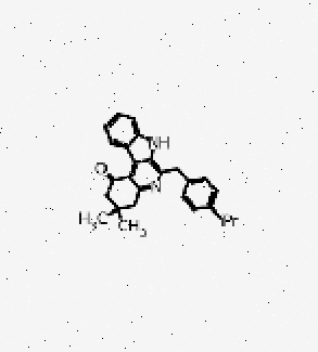 CC(C)c1ccc(Cc2nc3c(c4c2[nH]c2ccccc24)C(=O)CC(C)(C)C3)cc1